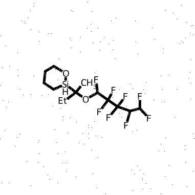 CCC(C)(OC(F)C(F)(F)C(F)(F)C(F)C(F)F)[SiH]1CCCCO1